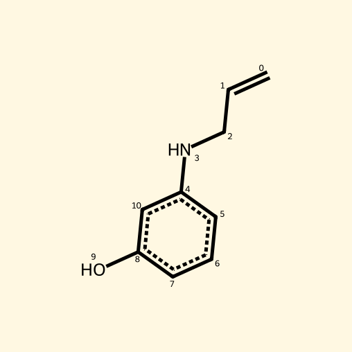 C=CCNc1cccc(O)c1